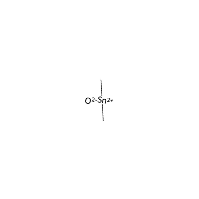 [CH3][Sn+2][CH3].[O-2]